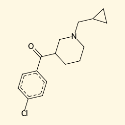 O=C(c1ccc(Cl)cc1)C1CCCN(CC2CC2)C1